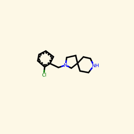 Clc1ccccc1CN1CCC2(CCNCC2)C1